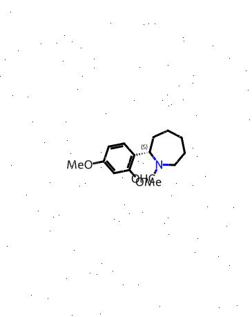 COc1ccc([C@@H]2CCCCCN2C=O)c(OC)c1